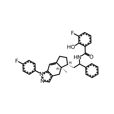 C[C@]12Cc3cnn(-c4ccc(F)cc4)c3C=C1CC[C@@H]2CC(NC(=O)c1cccc(F)c1O)c1ccccc1